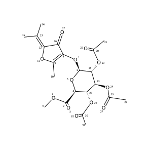 COC(=O)[C@H]1O[C@@H](OC2=C(C)OC(=C(C)C)C2=O)[C@H](OC(C)=O)[C@@H](OC(C)=O)[C@@H]1OC(C)=O